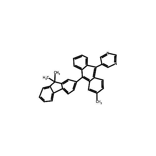 Cc1ccc2c(-c3cncnc3)c3ccccc3c(-c3ccc4c(c3)C(C)(C)c3ccccc3-4)c2c1